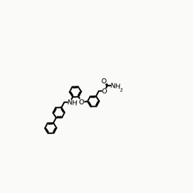 NC(=O)OCc1cccc(Oc2ccccc2NCc2ccc(-c3ccccc3)cc2)c1